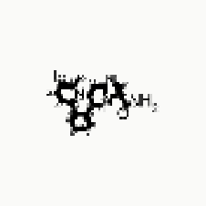 Cc1nc(-c2ccccc2-c2ccc3ncc(C(N)=O)n3c2)ccc1F